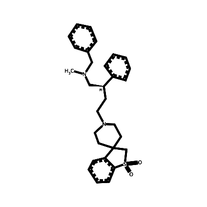 CN(Cc1ccccc1)C[C@H](CCN1CCC2(CC1)CS(=O)(=O)c1ccccc12)c1ccccc1